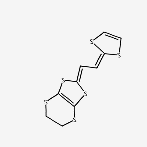 C1=CSC(=CC=C2SC3=C(SCCS3)S2)S1